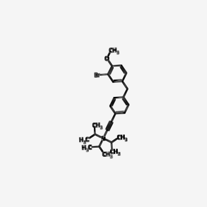 COc1ccc(Cc2ccc(C#C[Si](C(C)C)(C(C)C)C(C)C)cc2)cc1Br